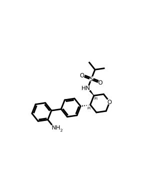 CC(C)S(=O)(=O)N[C@H]1COCC[C@@H]1c1ccc(-c2ccccc2N)cc1